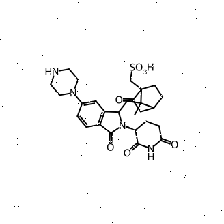 CC1(CC2c3cc(N4CCNCC4)ccc3C(=O)N2[C@H]2CCC(=O)NC2=O)C2CCC1(CS(=O)(=O)O)C(=O)C2